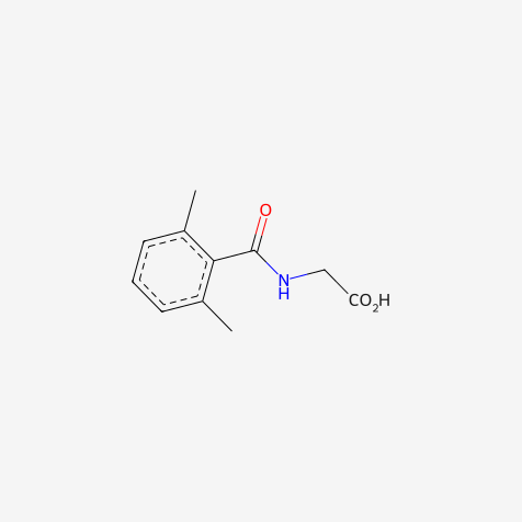 Cc1cccc(C)c1C(=O)NCC(=O)O